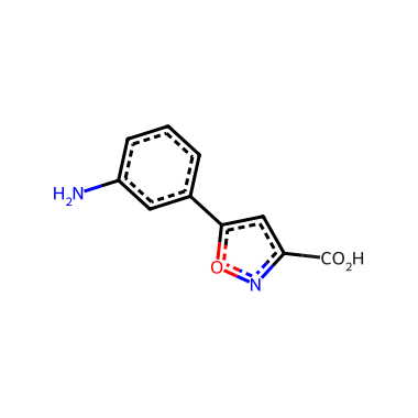 Nc1cccc(-c2cc(C(=O)O)no2)c1